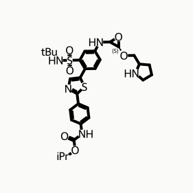 CC(C)OC(=O)Nc1ccc(-c2ncc(-c3ccc(NC4O[C@@H]4OCC4CCCN4)cc3S(=O)(=O)NC(C)(C)C)s2)cc1